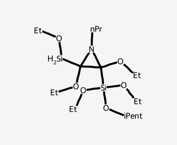 CCCC(C)O[Si](OCC)(OCC)C1(OCC)N(CCC)C1(OCC)[SiH2]OCC